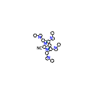 N#Cc1cc(-n2c3ccc(-c4cccc(-c5ccccc5)n4)cc3c3cc(-c4cccc(-c5ccccc5)n4)ccc32)c(-c2c(F)cccc2F)c(-n2c3ccc(-c4cccc(-c5ccccc5)n4)cc3c3cc(-c4cccc(-c5ccccc5)n4)ccc32)c1